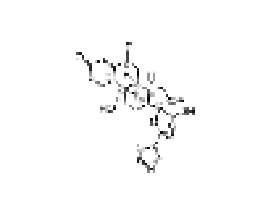 C[C@@H]1C[C@H]2[C@@H]3C[C@H](F)C4=CC(=O)C=C[C@]4(C)[C@@]3(F)[C@@H](O)C[C@]2(C)[C@@]1(OC(=O)c1cncs1)C(=O)S